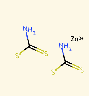 NC(=S)[S-].NC(=S)[S-].[Zn+2]